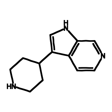 c1cc2c(C3CCNCC3)c[nH]c2cn1